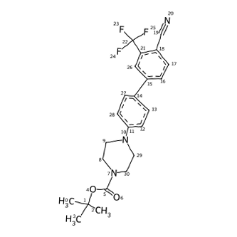 CC(C)(C)OC(=O)N1CCN(c2ccc(-c3ccc(C#N)c(C(F)(F)F)c3)cc2)CC1